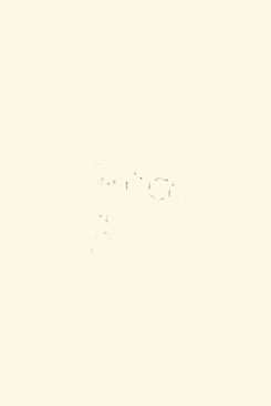 C[C@@H](NC1CCN(C(=O)OC(C)(C)C)CC1)C(=O)Nc1ccc(Cl)nc1Cl